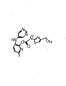 Cc1ccc(Nc2cncnc2)c(OC(=O)Nc2nc(CO)cs2)n1